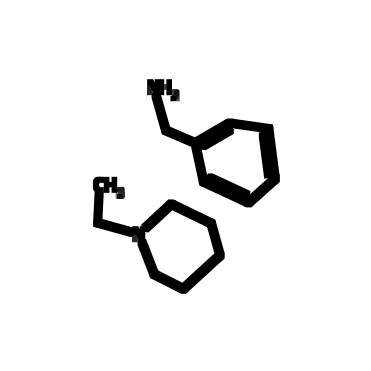 CCN1CCCCC1.NCc1ccccc1